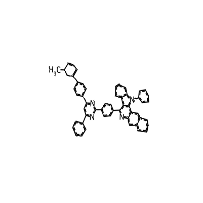 CC1C=CC=C(c2ccc(-c3cc(-c4ccccc4)nc(-c4ccc(-c5nc6cc7ccccc7cc6c6c5c5ccccc5n6-c5ccccc5)cc4)n3)cc2)C1